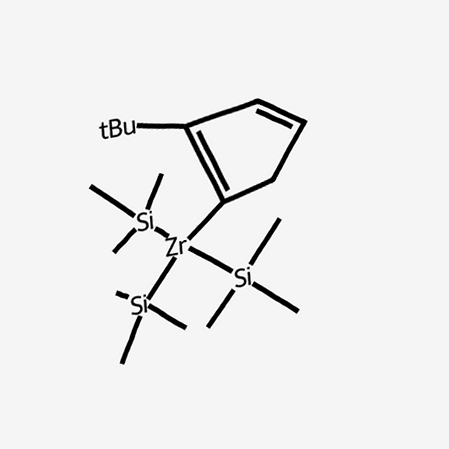 CC(C)(C)C1=[C]([Zr]([Si](C)(C)C)([Si](C)(C)C)[Si](C)(C)C)CC=C1